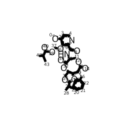 COc1ccnc(C(=O)N[C@H]2COC(=O)[C@H](Cc3ccccc3)C(OC(=O)C(C)C)C(C)OC2=O)c1OCOC(=O)C(C)C